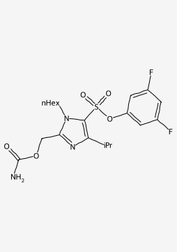 CCCCCCn1c(COC(N)=O)nc(C(C)C)c1S(=O)(=O)Oc1cc(F)cc(F)c1